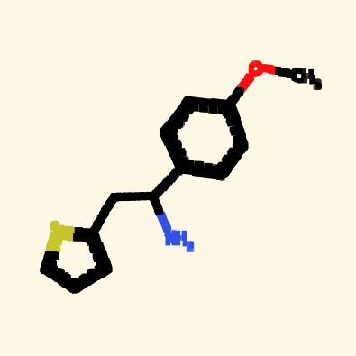 COc1ccc(C(N)Cc2cccs2)cc1